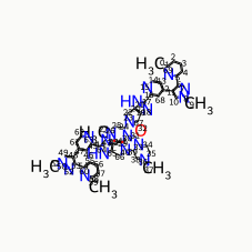 Cc1cccc(-c2nn(C)cc2-c2ccnc(-c3nc4c([nH]3)CN(C3CN(C)CCN3C(=O)N3CCN(C)CC3N3Cc5nc(-c6cc(-c7cn(C)nc7-c7cccc(C)n7)ccn6)[nH]c5C3)C4)c2)n1